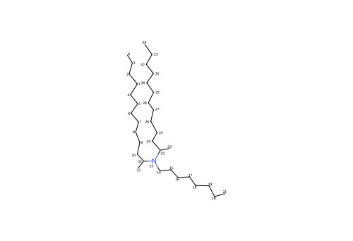 CCCCCCCCCCCC(C)N(CCCCCCCC)C(C)CCCCCCCCCCC